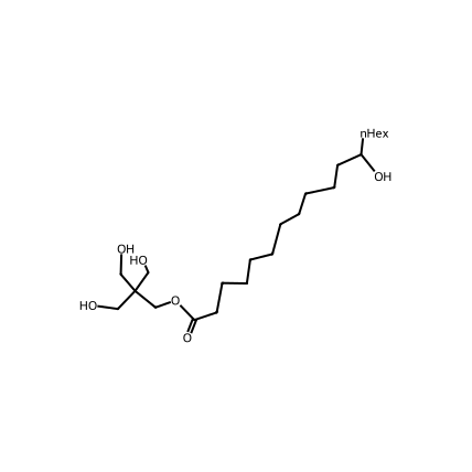 CCCCCCC(O)CCCCCCCCCCC(=O)OCC(CO)(CO)CO